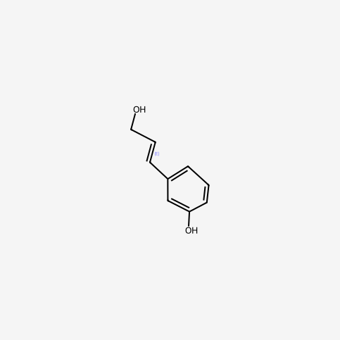 OC/C=C/c1cccc(O)c1